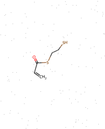 C=CC(=O)SCCS